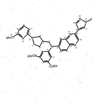 COc1cc(OC)cc(N(CC2CCN(c3cccc(OC)n3)C2)c2ccc3ncc(-c4cnn(C)c4)nc3c2)c1